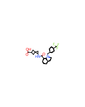 O=C(NC1CC12CC(C(=O)O)C2)c1cccc2ccn(Cc3ccc(C(F)(F)F)cc3)c12